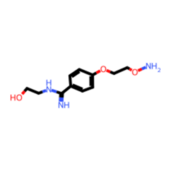 N=C(NCCO)c1ccc(OCCON)cc1